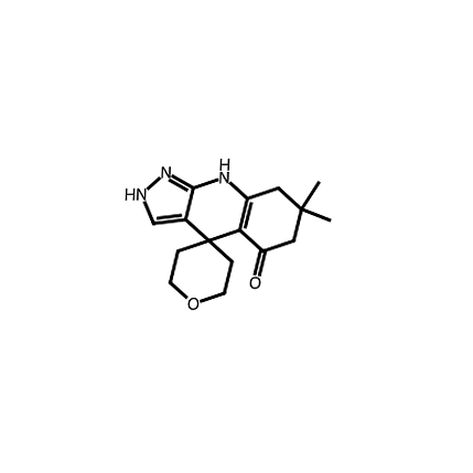 CC1(C)CC(=O)C2=C(C1)Nc1n[nH]cc1C21CCOCC1